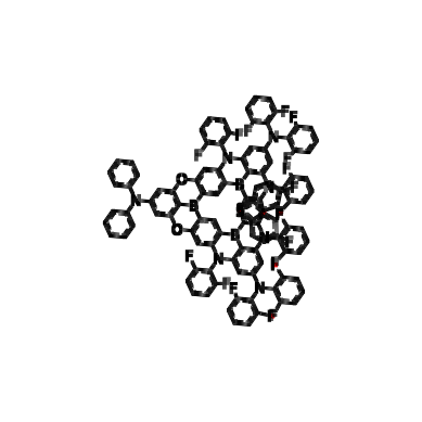 Fc1ccc2sc3c(c2c1)N(c1c(F)cccc1F)c1cc(N(c2c(F)cccc2F)c2c(F)cccc2F)cc2c1B3c1cc3c(cc1N2c1c(F)cccc1F)Oc1cc(N(c2ccccc2)c2ccccc2)cc2c1B3c1cc3c(cc1O2)N(c1c(F)cccc1F)c1cc(N(c2c(F)cccc2F)c2c(F)cccc2F)cc2c1B3c1sc3ccc(F)cc3c1N2c1c(F)cccc1F